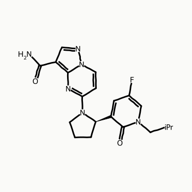 CC(C)Cn1cc(F)cc([C@H]2CCCN2c2ccn3ncc(C(N)=O)c3n2)c1=O